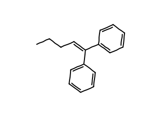 CCCC=C(c1ccccc1)c1ccccc1